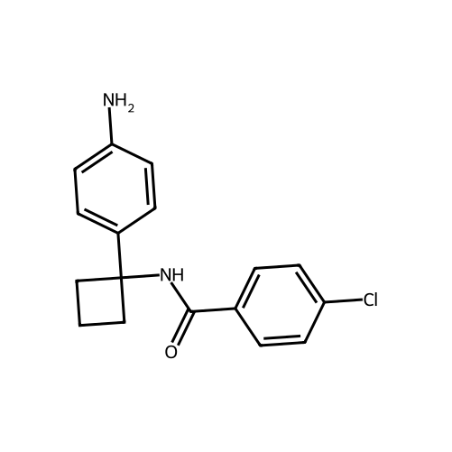 Nc1ccc(C2(NC(=O)c3ccc(Cl)cc3)CCC2)cc1